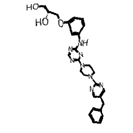 OC[C@@H](O)COc1cccc(Nc2ncnc(N3CCN(c4ncc(Cc5ccccc5)cn4)CC3)n2)c1